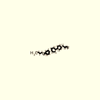 CCCCOc1ccc([C@H]2CC[C@H]([C@H]3CC[C@H](C/C=C/F)CC3)CC2)cc1